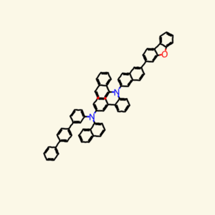 c1ccc(-c2ccc(-c3cccc(N(c4cccc(-c5ccccc5N(c5ccc6cc(-c7ccc8c(c7)oc7ccccc78)ccc6c5)c5cccc6ccccc56)c4)c4cccc5ccccc45)c3)cc2)cc1